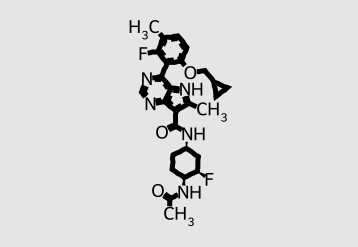 CC(=O)N[C@H]1CC[C@H](NC(=O)c2c(C)[nH]c3c(-c4c(OCC5CC5)ccc(C)c4F)ncnc23)C[C@H]1F